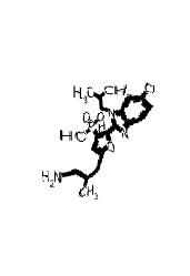 CC(C)Cn1c(-c2oc(CC(C)CN)cc2P(=O)(O)O)nc2ccc(Cl)cc21